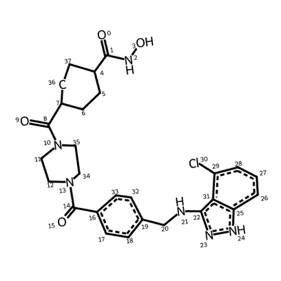 O=C(NO)C1CCC(C(=O)N2CCN(C(=O)c3ccc(CNc4n[nH]c5cccc(Cl)c45)cc3)CC2)CC1